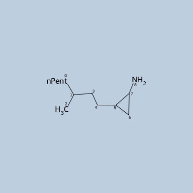 CCCCCC(C)CCC1CC1N